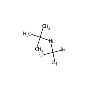 [2H]C([2H])([2H])NC(C)(C)C